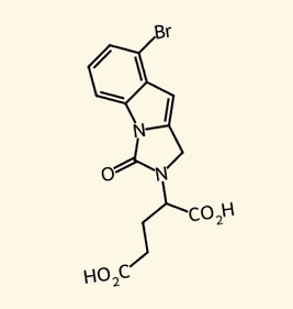 O=C(O)CCC(C(=O)O)N1Cc2cc3c(Br)cccc3n2C1=O